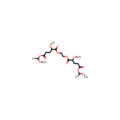 CCC(OC#N)OC(=O)CCC(OC#N)C(=O)OCCOC(=O)C(CCC(=O)OC(CC)OC#N)OC#N